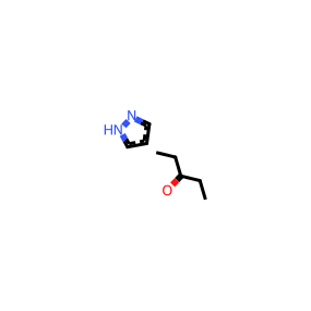 CCC(=O)CC.c1cn[nH]c1